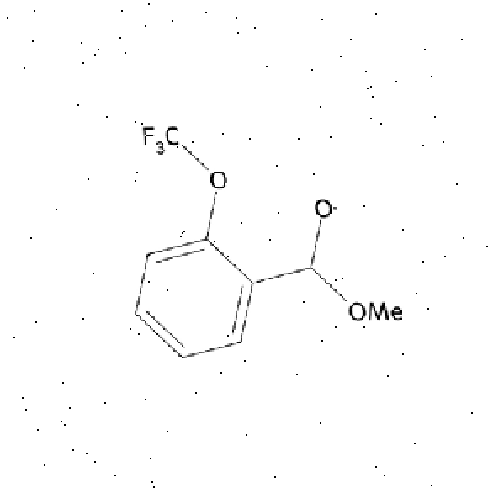 COC([O])c1ccccc1OC(F)(F)F